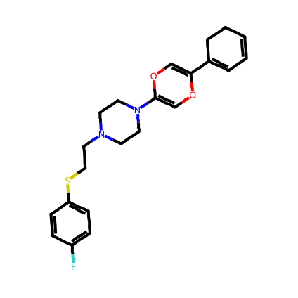 Fc1ccc(SCCN2CCN(C3=COC(C4=CC=CCC4)=CO3)CC2)cc1